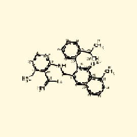 Cc1ncnc(NCc2cc3cccc(C)c3c(=O)n2-c2ccccc2C(C)C)c1C(=N)I